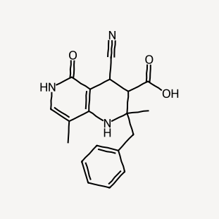 Cc1c[nH]c(=O)c2c1NC(C)(Cc1ccccc1)C(C(=O)O)C2C#N